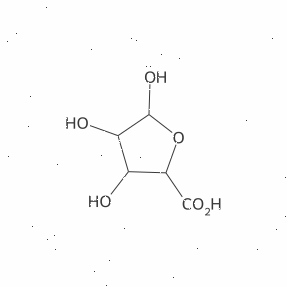 O=C(O)C1OC(O)C(O)C1O